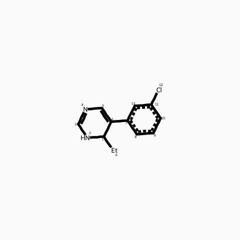 CCC1NC=NC=C1c1cccc(Cl)c1